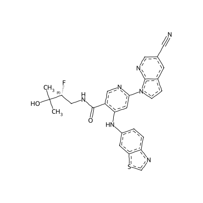 CC(C)(O)[C@H](F)CNC(=O)c1cnc(-n2ccc3cc(C#N)cnc32)cc1Nc1ccc2ncsc2c1